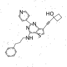 OC1(C#Cc2csc3c(NCCCc4ccccc4)nc(-c4ccncc4)nc23)CCC1